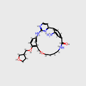 Nc1cc2ccc1-c1ccnc(n1)Nc1ccc(OCC3CCOC3)c(c1)COCCCCNC2=O